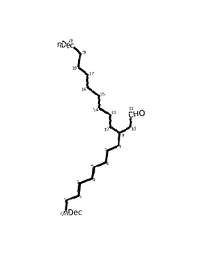 CCCCCCCCCCCCCCCCCC[C](CC=O)CCCCCCCCCCCCCCCCCC